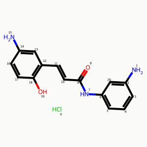 Cl.Nc1cccc(NC(=O)C=Cc2cc(N)ccc2O)c1